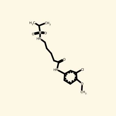 COc1ccc(NC(=O)CCCCNS(=O)(=O)C(C)C)cc1Cl